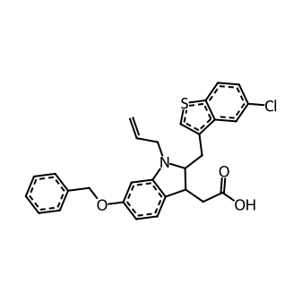 C=CCN1c2cc(OCc3ccccc3)ccc2C(CC(=O)O)C1Cc1csc2ccc(Cl)cc12